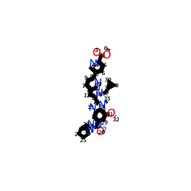 COC(=O)c1ccc(-c2ccc3cc(-c4nc5cc(C(=O)N6CC7CCC6C7N)cc(OC)c5n4C)n(CC4CC4)c3n2)cn1